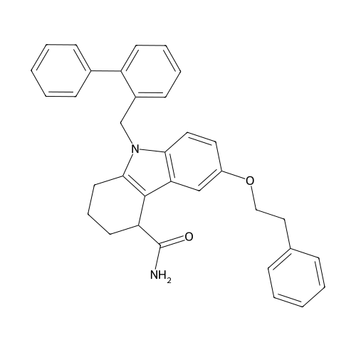 NC(=O)C1CCCc2c1c1cc(OCCc3ccccc3)ccc1n2Cc1ccccc1-c1ccccc1